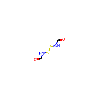 O=CNSSNC=O